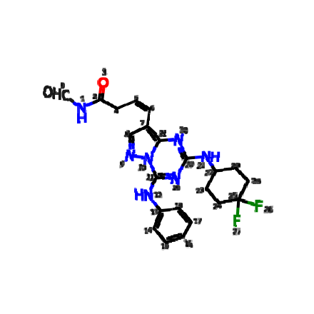 O=CNC(=O)C/C=C\c1cnn2c(Nc3ccccc3)nc(NC3CCC(F)(F)CC3)nc12